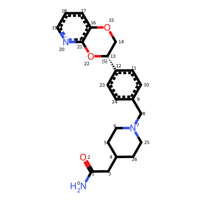 NC(=O)CC1CCN(Cc2ccc([C@H]3COc4cccnc4O3)cc2)CC1